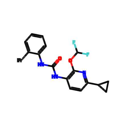 CC(C)c1ccccc1NC(=O)Nc1ccc(C2CC2)nc1OC(F)F